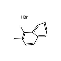 Br.Cc1ccc2ccccc2c1C